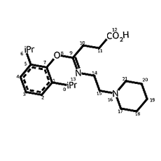 CC(C)c1cccc(C(C)C)c1OC(CCC(=O)O)=NCCN1CCCCC1